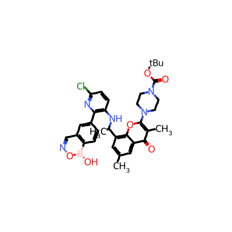 Cc1cc(C(C)Nc2ccc(Cl)nc2-c2ccc3c(c2)C=NOB3O)c2oc(N3CCN(C(=O)OC(C)(C)C)CC3)c(C)c(=O)c2c1